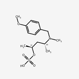 COc1ccc(CN(C)[C@H](C)C[C@H](C)OS(=O)(=O)O)cc1